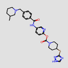 CC1CCCN(Cc2ccc(C(=O)Nc3ccc(OC(=O)N4CCC(Sc5nc[nH]n5)CC4)nc3)cc2)C1